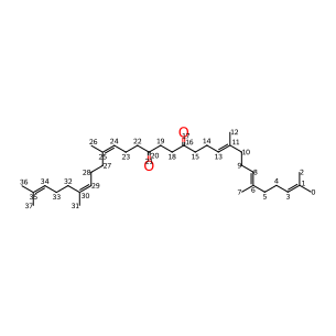 CC(C)=CCCC(C)=CCCC(C)=CCCC(=O)CCC(=O)CCC=C(C)CCC=C(C)CCC=C(C)C